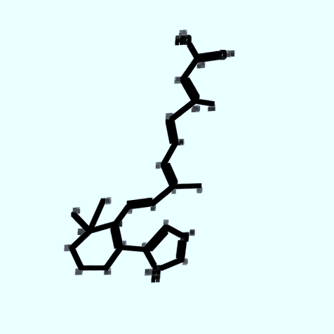 CC(/C=C/C1=C(c2cnc[nH]2)CCCC1(C)C)=C\C=C\C(C)=C\C(=O)O